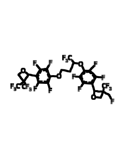 FCC1(C(F)(F)F)COC1c1c(F)c(F)c(OC(CCOc2c(F)c(F)c(C3OCC3(C(F)(F)F)C(F)(F)F)c(F)c2F)C(F)(F)F)c(F)c1F